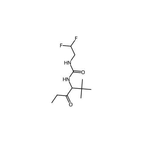 CCC(=O)C(NC(=O)NCC(F)F)C(C)(C)C